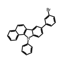 Brc1cccc(-c2ccc3c(c2)c2ccc4ccccc4c2n3-c2ccccc2)c1